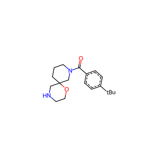 CC(C)(C)c1ccc(C(=O)N2CCCC3(CNCCO3)C2)cc1